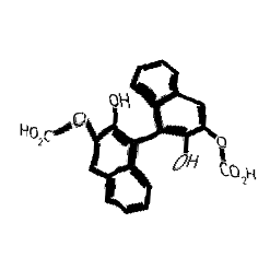 O=C(O)Oc1cc2ccccc2c(-c2c(O)c(OC(=O)O)cc3ccccc23)c1O